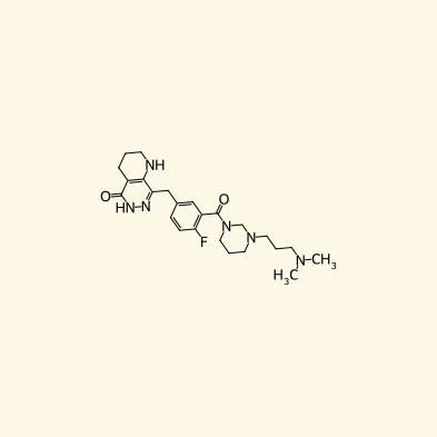 CN(C)CCCN1CCCN(C(=O)c2cc(Cc3n[nH]c(=O)c4c3NCCC4)ccc2F)C1